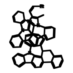 CC/C=C\c1nc2c3ccc(-n4c5ccccc5c5ccc6c(c54)C(c4ccc5c(c4)c4ccccc4n4c7c(nc54)CCC=C7)Cc4ccccc4-6)cc3c3ccccc3n2c1C